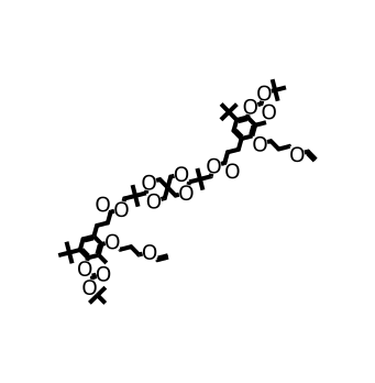 C=COCCCOc1c(CCC(=O)OCC(C)(C)C2OCC3(CO2)COC(C(C)(C)COC(=O)CCc2cc(C(C)(C)C)c(OC(=O)OC(C)(C)C)c(C)c2OCCCOC=C)OC3)cc(C(C)(C)C)c(OC(=O)OC(C)(C)C)c1C